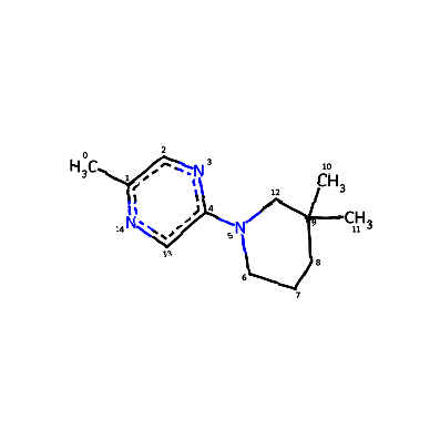 Cc1cnc(N2CCCC(C)(C)C2)cn1